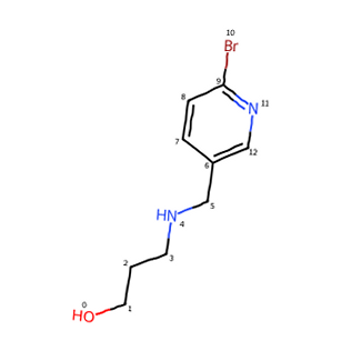 OCCCNCc1ccc(Br)nc1